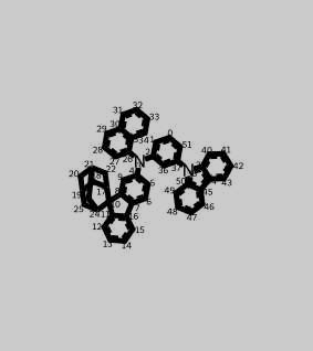 c1cc(N(c2ccc3c(c2)C2(c4ccccc4-3)C3CC4CC(C3)CC2C4)c2cccc3ccccc23)cc(-n2c3ccccc3c3ccccc32)c1